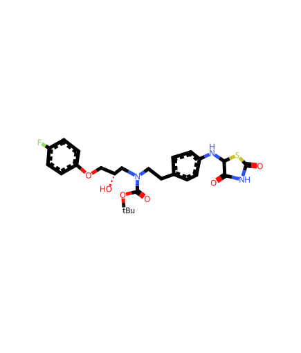 CC(C)(C)OC(=O)N(CCc1ccc(NC2SC(=O)NC2=O)cc1)C[C@H](O)COc1ccc(F)cc1